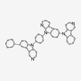 c1ccc(-c2ccc3c(c2)c2cnccc2n3-c2ccc(-n3c4ccc(-n5c6ccccc6c6cnccc65)cc4c4cccnc43)cc2)cc1